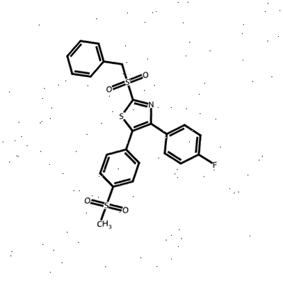 CS(=O)(=O)c1ccc(-c2sc(S(=O)(=O)Cc3ccccc3)nc2-c2ccc(F)cc2)cc1